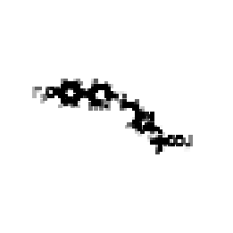 CC(C)(Sc1nc(CCOc2ccc(-c3ccc(C(F)(F)F)cc3)cn2)cs1)C(=O)O